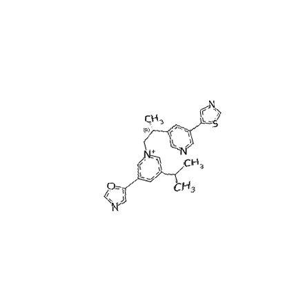 CC(C)c1cc(-c2cnco2)c[n+](C[C@H](C)c2cncc(-c3cncs3)c2)c1